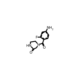 Nc1ccc(C(=O)N2CCNC(=O)C2)c(F)c1